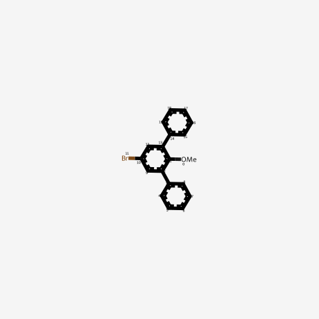 COc1c(-c2ccccc2)cc(Br)cc1-c1ccccc1